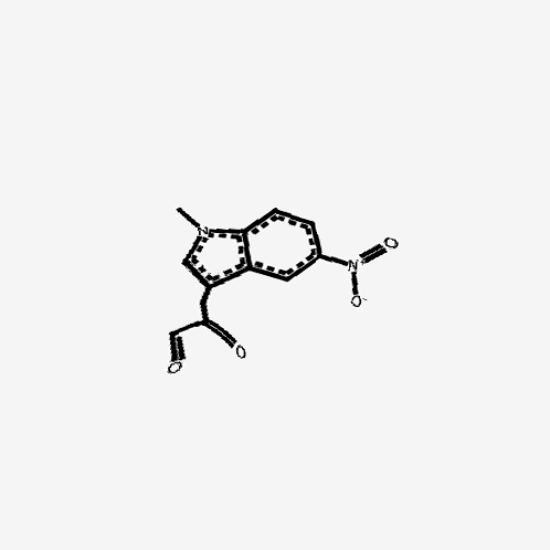 Cn1cc(C(=O)C=O)c2cc([N+](=O)[O-])ccc21